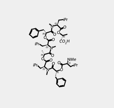 CN[C@@H](CC(C)C)C(=O)O[C@H](Cc1ccccc1)C(=O)N(C)[C@@H](CC(C)C)C(=O)O[C@H](C)C(=O)N(C)[C@@H](CC(C)C)C(=O)O[C@H](Cc1ccccc1)C(=O)N(C)[C@@H](CC(C)C)C(=O)O[C@H](C)C(=O)O